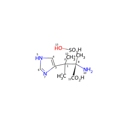 CC(C)(c1c[nH]cn1)[C@](C)(N)C(=O)O.O=S(=O)(O)O